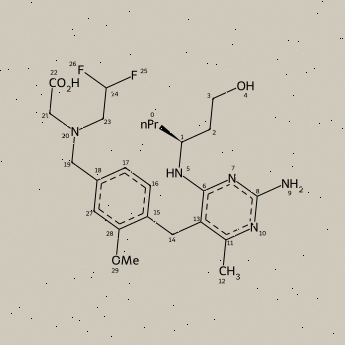 CCC[C@@H](CCO)Nc1nc(N)nc(C)c1Cc1ccc(CN(CC(=O)O)CC(F)F)cc1OC